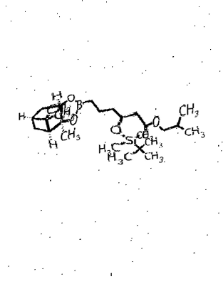 CC(C)COC(=O)C[C@H](CCCB1O[C@@H]2C[C@@H]3C[C@@H](C3(C)C)[C@]2(C)O1)O[Si](C)(C)C(C)(C)C